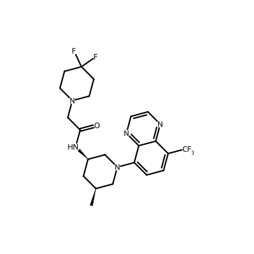 C[C@H]1C[C@@H](NC(=O)CN2CCC(F)(F)CC2)CN(c2ccc(C(F)(F)F)c3nccnc23)C1